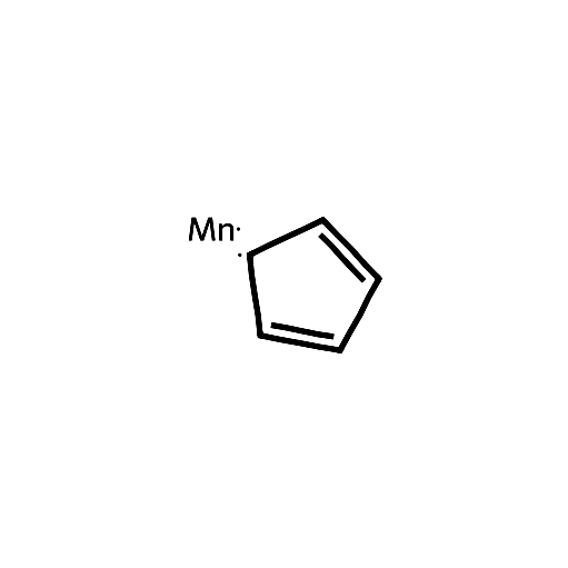 [CH]1C=CC=C1.[Mn]